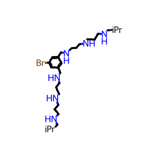 CC(C)CNCCCNCCCNCc1cc(Br)cc(CNCCCNCCCNCC(C)C)c1